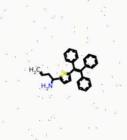 C=CCC(N)c1ccc(C(=C(c2ccccc2)c2ccccc2)c2ccccc2)s1